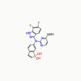 CNc1ccnc(N(c2ccc3c(c2)S(O)(O)C=C3)c2n[nH]c3c(F)c(F)ccc23)n1